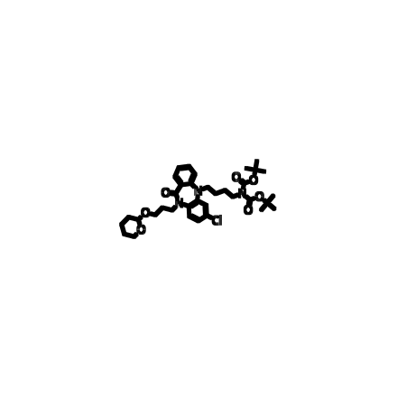 CC(C)(C)OC(=O)N(CCCCN1c2ccccc2C(=O)N(CCCOC2CCCCO2)c2ccc(Cl)cc21)C(=O)OC(C)(C)C